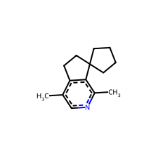 Cc1cnc(C)c2c1CCC21CCCC1